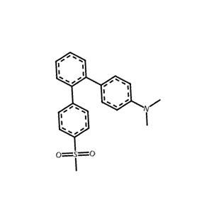 CN(C)c1ccc(-c2ccccc2-c2ccc(S(C)(=O)=O)cc2)cc1